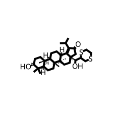 CC(C)C1=C2[C@H]3CC[C@@H]4[C@@]5(C)CC[C@H](O)C(C)(C)[C@@H]5CC[C@@]4(C)[C@]3(C)CC[C@@]2(C(O)C2CSCCS2)CC1=O